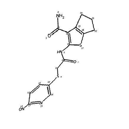 NC(=O)c1c(NC(=O)CSc2ccc(N=O)nc2)sc2c1CCC2